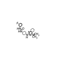 CN(C)c1nc(N[C@H]2CC[C@@H](NC(=O)Nc3cccc(F)c3)CC2)nc2c1CCCC2